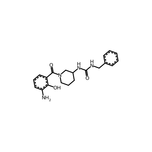 Nc1cccc(C(=O)N2CCCC(NC(=O)NCc3ccccc3)C2)c1O